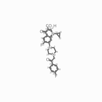 O=C(CN1CCN(c2cc3c(cc2F)c(=O)c(C(=O)O)cn3C2CC2)CC1)c1ccc(F)cc1